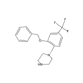 FC(F)(F)c1ccc(N2CCNCC2)c(OCc2ccccc2)c1